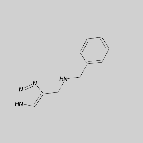 c1ccc(CNCc2c[nH]nn2)cc1